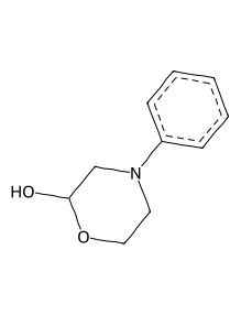 OC1CN(c2ccccc2)CCO1